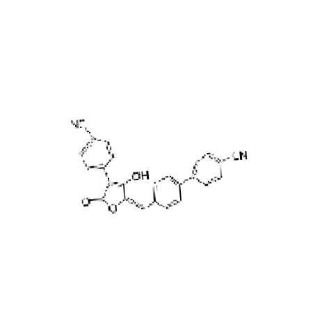 N#Cc1ccc(C2=C(O)/C(=C\c3ccc(-c4ccc(C#N)cc4)cc3)OC2=O)cc1